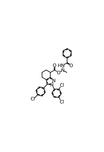 CN(NC(=O)c1ccccc1)OC(=O)C1CCCc2c1nn(-c1ccc(Cl)cc1Cl)c2-c1ccc(Cl)cc1